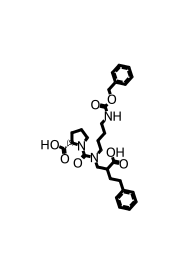 O=C(NCCCCN(CC(CCc1ccccc1)C(=O)O)C(=O)N1CCC[C@H]1C(=O)O)OCc1ccccc1